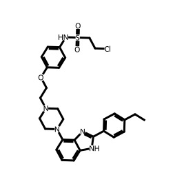 CCc1ccc(-c2nc3c(N4CCN(CCOc5ccc(NS(=O)(=O)CCCl)cc5)CC4)cccc3[nH]2)cc1